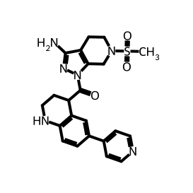 CS(=O)(=O)N1CCc2c(N)nn(C(=O)C3CCNc4ccc(-c5ccncc5)cc43)c2C1